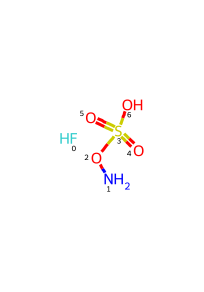 F.NOS(=O)(=O)O